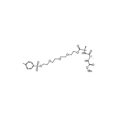 Cc1ccc(S(=O)(=O)OCCOCCOCCOCCOC(=O)[C@@H](C)NC(=O)[C@H](C)NC(=O)OC(C)(C)C)cc1